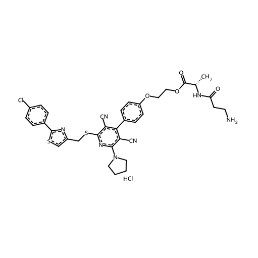 C[C@H](NC(=O)CCN)C(=O)OCCOc1ccc(-c2c(C#N)c(SCc3csc(-c4ccc(Cl)cc4)n3)nc(N3CCCC3)c2C#N)cc1.Cl